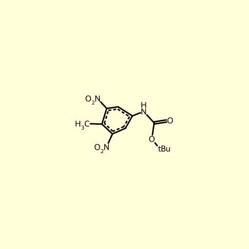 Cc1c([N+](=O)[O-])cc(NC(=O)OC(C)(C)C)cc1[N+](=O)[O-]